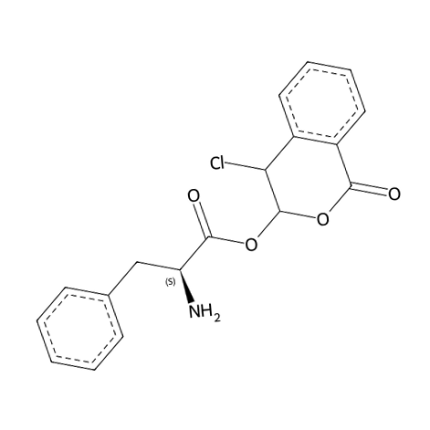 N[C@@H](Cc1ccccc1)C(=O)OC1OC(=O)c2ccccc2C1Cl